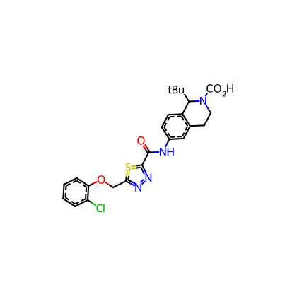 CC(C)(C)C1c2ccc(NC(=O)c3nnc(COc4ccccc4Cl)s3)cc2CCN1C(=O)O